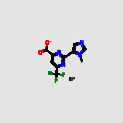 Cn1cncc1-c1nc(C(=O)[O-])cc(C(F)(F)F)n1.[Li+]